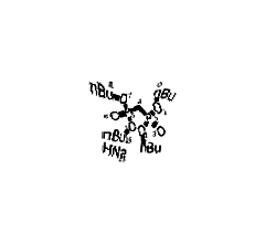 CCCCOP(=O)(CP(=O)(OCCCC)OCCCC)OCCCC.[NaH]